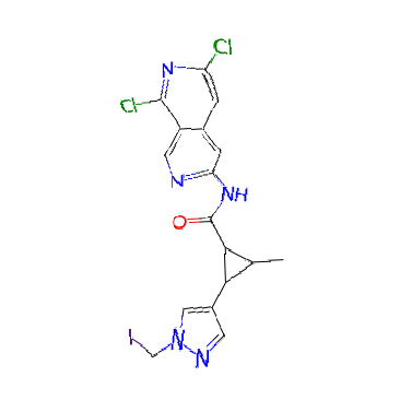 CC1C(C(=O)Nc2cc3cc(Cl)nc(Cl)c3cn2)C1c1cnn(CI)c1